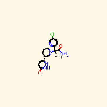 CC(C(N)=O)(c1ccc(Cl)cn1)N1CCC[C@@H](c2ccc(=O)[nH]n2)C1